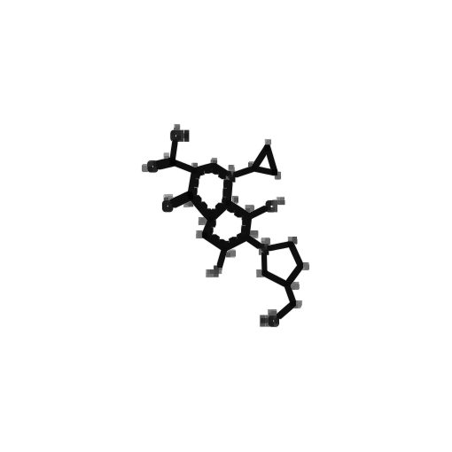 O=C(O)c1cn(C2CC2)c2c(Cl)c(N3CCC(CO)C3)c(F)cc2c1=O